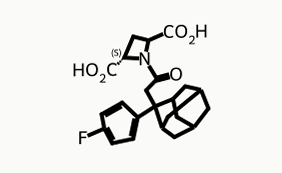 O=C(O)C1C[C@@H](C(=O)O)N1C(=O)CC1(c2ccc(F)cc2)C2CC3CC(C2)CC1C3